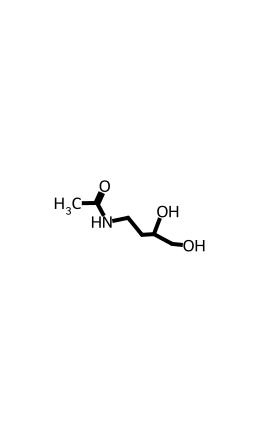 CC(=O)NCCC(O)CO